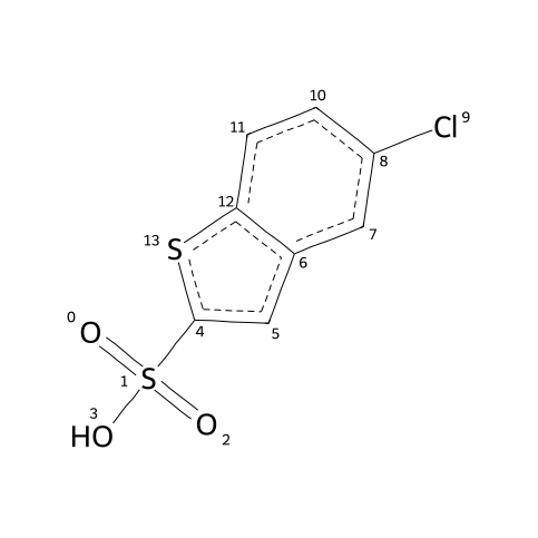 O=S(=O)(O)c1cc2cc(Cl)ccc2s1